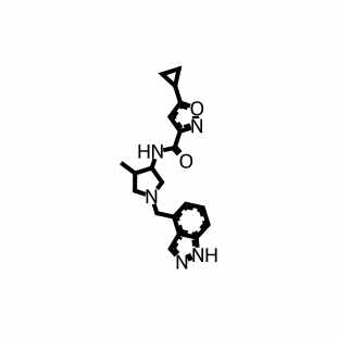 CC1CN(Cc2cccc3[nH]ncc23)CC1NC(=O)c1cc(C2CC2)on1